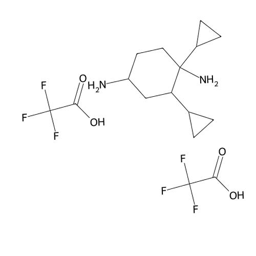 NC1CCC(N)(C2CC2)C(C2CC2)C1.O=C(O)C(F)(F)F.O=C(O)C(F)(F)F